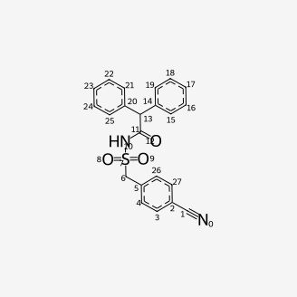 N#Cc1ccc(CS(=O)(=O)NC(=O)C(c2ccccc2)c2ccccc2)cc1